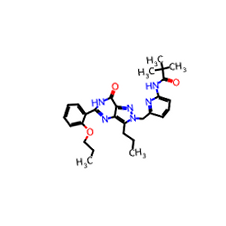 CCCOc1ccccc1-c1nc2c(CCC)n(Cc3cccc(NC(=O)C(C)(C)C)n3)nc2c(=O)[nH]1